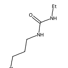 CCNC(=O)NCCCCl